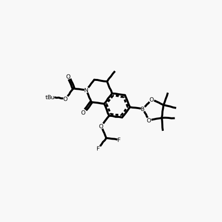 CC1CN(C(=O)OC(C)(C)C)C(=O)c2c(OC(F)F)cc(B3OC(C)(C)C(C)(C)O3)cc21